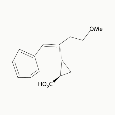 COCCC(=Cc1ccccc1)[C@@H]1C[C@H]1C(=O)O